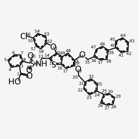 O=C(O)c1ccccc1S(=O)(=O)NCc1sc2cc(OCc3ccc(-c4ccccc4)cc3)c(OCc3ccc(-c4ccccc4)cc3)cc2c1Oc1ccc(Cl)cc1